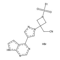 Br.CCS(=O)(=O)N1CC(CC#N)(n2cc(-c3ncnc4[nH]ccc34)cn2)C1